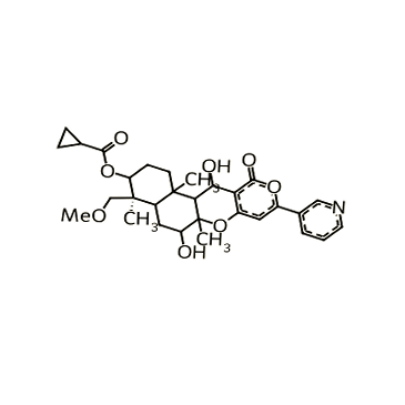 COC[C@@]1(C)C(OC(=O)C2CC2)CCC2(C)C3C(O)c4c(cc(-c5cccnc5)oc4=O)OC3(C)C(O)CC21